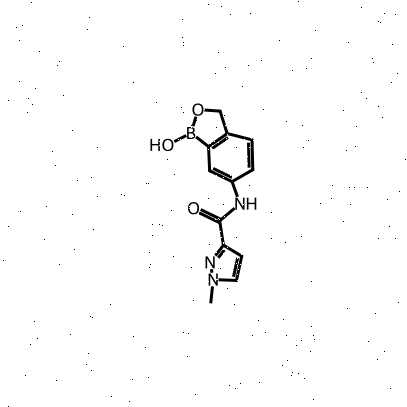 Cn1ccc(C(=O)Nc2ccc3c(c2)B(O)OC3)n1